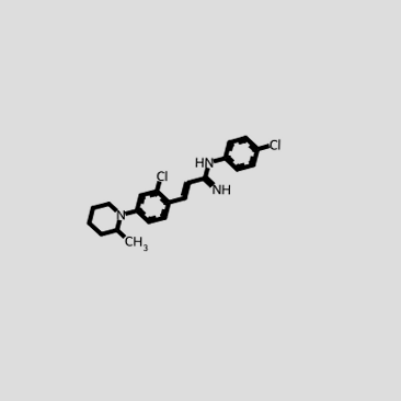 CC1CCCCN1c1ccc(/C=C/C(=N)Nc2ccc(Cl)cc2)c(Cl)c1